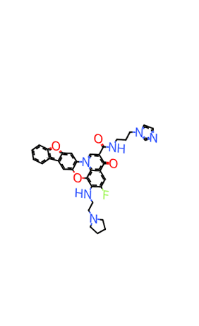 O=C(NCCCn1ccnc1)c1cn2c3c(c(NCCN4CCCC4)c(F)cc3c1=O)Oc1cc3c(cc1-2)oc1ccccc13